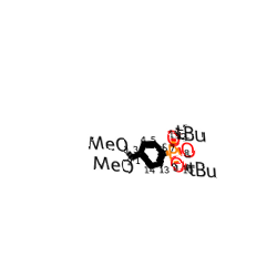 COC(OC)c1ccc(P(=O)(OC(C)(C)C)OC(C)(C)C)cc1